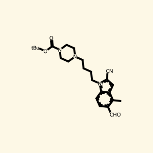 Cc1c(C=O)ccc2c1cc(C#N)n2CCCCN1CCN(C(=O)OC(C)(C)C)CC1